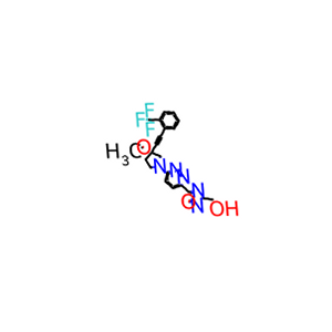 COC1(C#Cc2ccccc2C(F)(F)F)CCN(c2ccc(-c3nc(CO)no3)nn2)C1